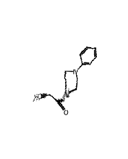 C#CC(=O)N1CCN(c2ccccc2)CC1